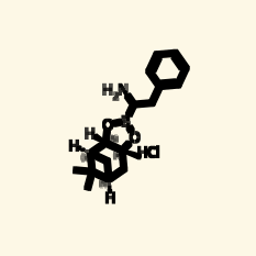 CC1(C)[C@H]2C[C@@H]1[C@@H]1OB(C(N)Cc3ccccc3)O[C@]1(C)C2.Cl